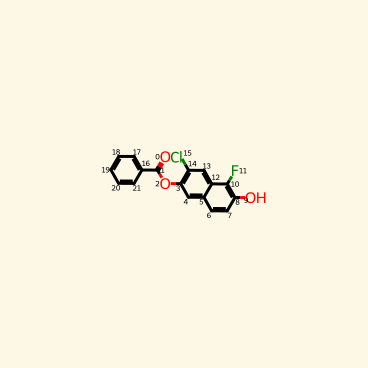 O=C(Oc1cc2ccc(O)c(F)c2cc1Cl)c1ccccc1